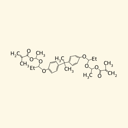 C=C(C)C(=O)OC(C)OC(CC)Oc1ccc(C(C)(C)c2ccc(OC(CC)OC(C)OC(=O)C(=C)C)cc2)cc1